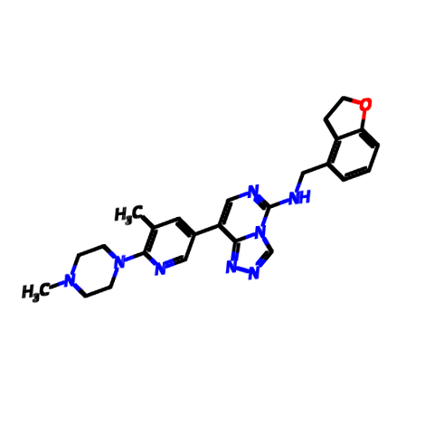 Cc1cc(-c2cnc(NCc3cccc4c3CCO4)n3cnnc23)cnc1N1CCN(C)CC1